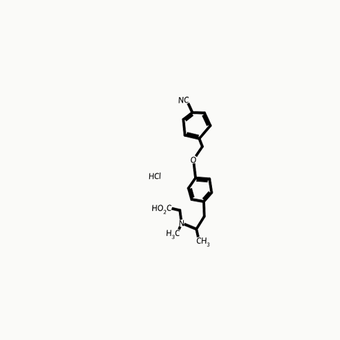 CC(Cc1ccc(OCc2ccc(C#N)cc2)cc1)N(C)CC(=O)O.Cl